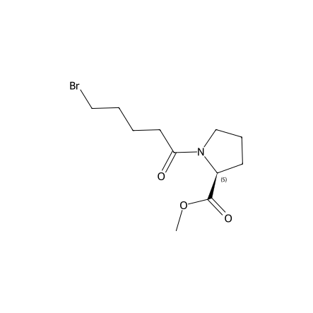 COC(=O)[C@@H]1CCCN1C(=O)CCCCBr